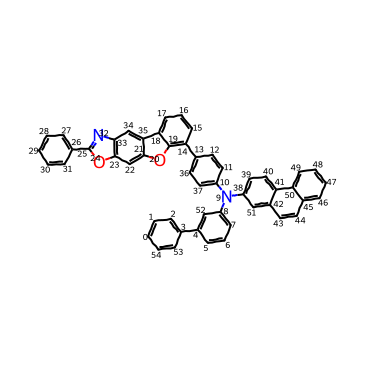 c1ccc(-c2cccc(N(c3ccc(-c4cccc5c4oc4cc6oc(-c7ccccc7)nc6cc45)cc3)c3ccc4c(ccc5ccccc54)c3)c2)cc1